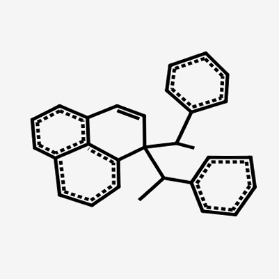 CC(c1ccccc1)C1(C(C)c2ccccc2)C=Cc2cccc3cccc1c23